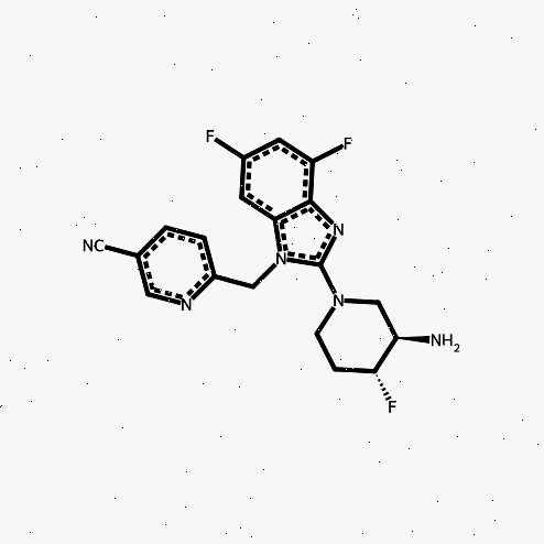 N#Cc1ccc(Cn2c(N3CC[C@@H](F)[C@H](N)C3)nc3c(F)cc(F)cc32)nc1